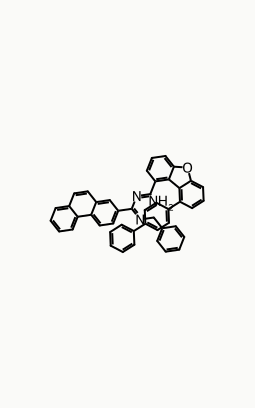 N/C(=N\C(=N/Cc1ccccc1)c1ccc2c(ccc3ccccc32)c1)c1cccc2oc3cccc(-c4ccc(-c5ccccc5)cc4)c3c12